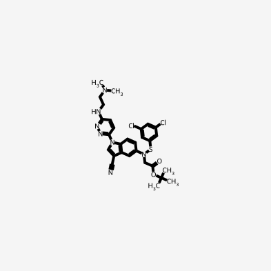 CN(C)CCNc1ccc(-n2cc(C#N)c3cc(N(CC(=O)OC(C)(C)C)Sc4cc(Cl)cc(Cl)c4)ccc32)nn1